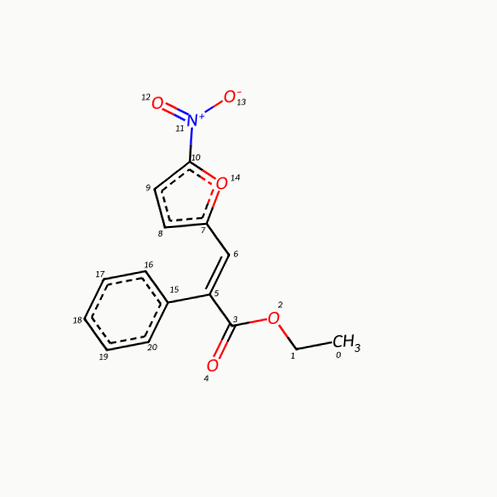 CCOC(=O)/C(=C/c1ccc([N+](=O)[O-])o1)c1ccccc1